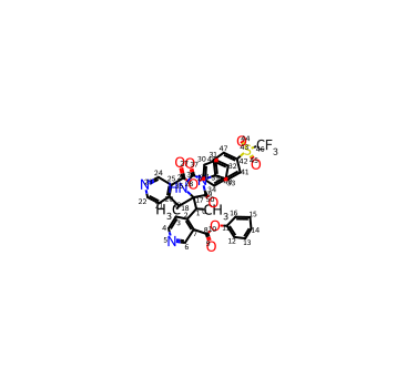 CC(c1ccncc1C(=O)Oc1ccccc1)C1(C(C)c2ccncc2C(=O)Oc2ccccc2)NC(=O)N(c2ccc(S(=O)(=O)C(F)(F)F)cc2)C1=O